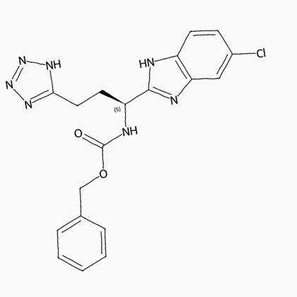 O=C(N[C@@H](CCc1nnn[nH]1)c1nc2cc(Cl)ccc2[nH]1)OCc1ccccc1